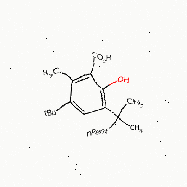 CCCCCC(C)(C)c1cc(C(C)(C)C)c(C)c(C(=O)O)c1O